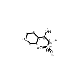 C[C@@H]([C@H](O)C1CCOCC1)[SH](=O)=O